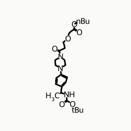 CCCCOC(=O)COCCC(=O)N1CCN(c2ccc([C@H](C)NC(=O)OC(C)(C)C)cc2)CC1